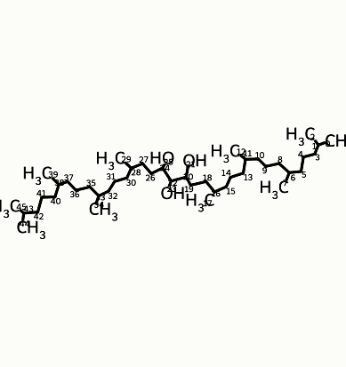 CC(C)CCCC(C)CCCC(C)CCCC(C)CCC(O)C(O)C(O)CCC(C)CCCC(C)CCCC(C)CCCC(C)C